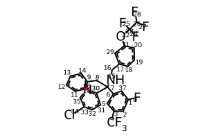 Fc1cc(C(F)(F)F)cc(C(Cc2ccccc2)(NCc2cccc(OC(F)(F)C(F)F)c2)c2ccc(Cl)cn2)c1